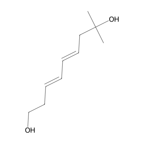 CC(C)(O)CC=CC=CCCO